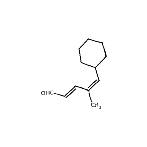 CC(C=CC=O)=CC1CCCCC1